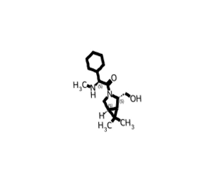 CN[C@H](C(=O)N1C[C@H]2C([C@H]1CO)C2(C)C)C1CCCCC1